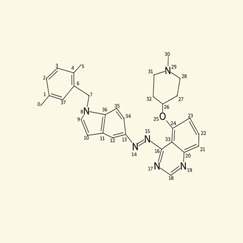 Cc1ccc(C)c(Cn2ccc3cc(/N=N/c4ncnc5cccc(OC6CCN(C)CC6)c45)ccc32)c1